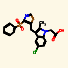 Cc1c(Cc2scnc2S(=O)(=O)c2ccccc2)c2cc(Cl)ccc2n1CC(=O)O